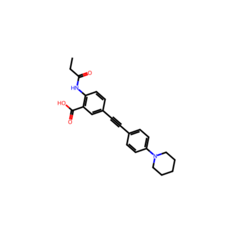 CCC(=O)Nc1ccc(C#Cc2ccc(N3CCCCC3)cc2)cc1C(=O)O